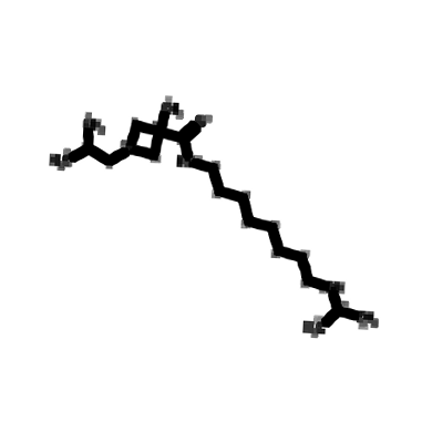 CC(C)CN1CC(C)(C(=O)NCCCCCCCCNC(C)C)C1